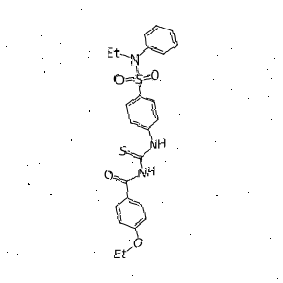 CCOc1ccc(C(=O)NC(=S)Nc2ccc(S(=O)(=O)N(CC)c3ccccc3)cc2)cc1